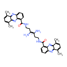 Cc1ccc(C)c2nc3c(C(=O)NCC/C(N)=C(\N)CCNC(=O)c4cccc5nc6c(C)ccc(C)c6nc45)cccc3nc12